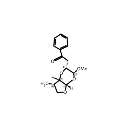 CO[C@H]1O[C@@H]2OC[C@@H](C)[C@@H]2O[C@@H]1CC(=O)c1ccccc1